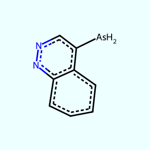 [AsH2]c1cnnc2ccccc12